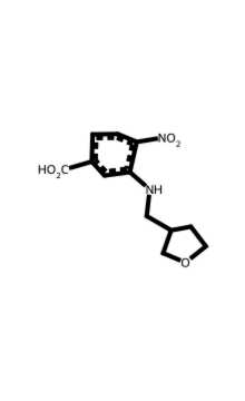 O=C(O)c1ccc([N+](=O)[O-])c(NCC2CCOC2)c1